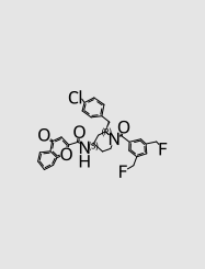 O=C(N[C@H]1CCN(C(=O)c2cc(CF)cc(CF)c2)[C@H](Cc2ccc(Cl)cc2)C1)c1cc(=O)c2ccccc2o1